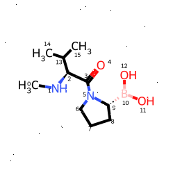 CN[C@H](C(=O)N1CCC[C@H]1B(O)O)C(C)C